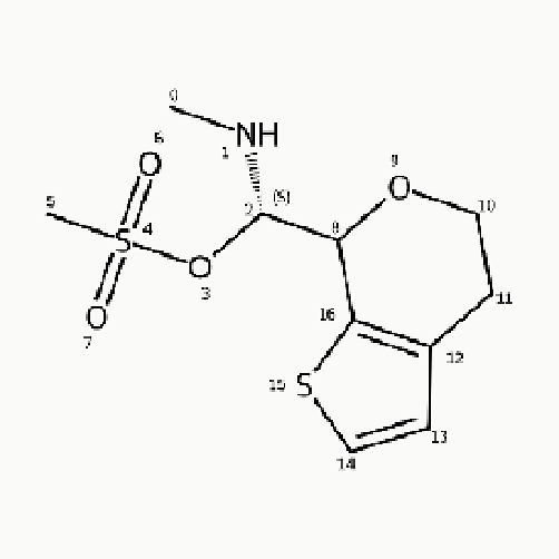 CN[C@@H](OS(C)(=O)=O)C1OCCc2ccsc21